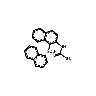 NC(=S)Nc1ccc2ccccc2c1S(=O)(=O)O.c1ccc2ccccc2c1